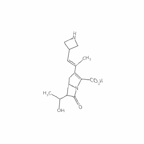 CC(=CC1CNC1)C1=C(C(=O)O)N2C(=O)C(C(C)O)C2C1